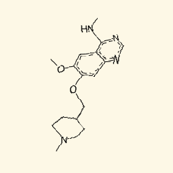 CNc1ncnc2cc(OCC3CCN(C)CC3)c(OC)cc12